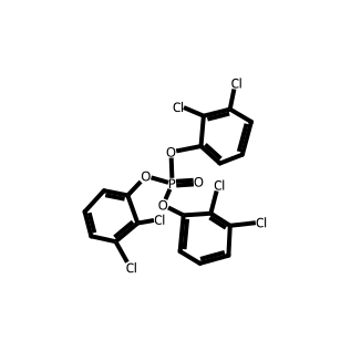 O=P(Oc1cccc(Cl)c1Cl)(Oc1cccc(Cl)c1Cl)Oc1cccc(Cl)c1Cl